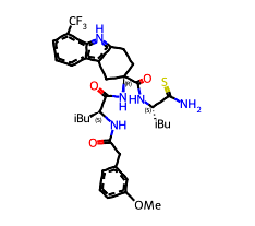 CCC(C)[C@H](NC(=O)Cc1cccc(OC)c1)C(=O)N[C@]1(C(=O)N[C@H](C(N)=S)C(C)CC)CCc2[nH]c3c(C(F)(F)F)cccc3c2C1